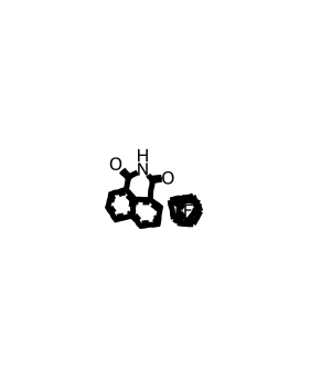 O=C1NC(=O)c2cccc3cccc1c23.[CH]12[CH]3[CH]4[CH]5[CH]1[Fe]23451678[CH]2[CH]1[CH]6[CH]7[CH]28